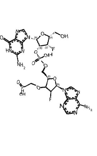 Nc1nc2c(ncn2[C@@H]2O[C@H](CO)[C@H](F)[C@@H]2OP(=O)(O)OC[C@H]2O[C@@H](n3cnc4c(N)ncnc43)C(F)C2OC[PH](=O)O)c(=O)[nH]1